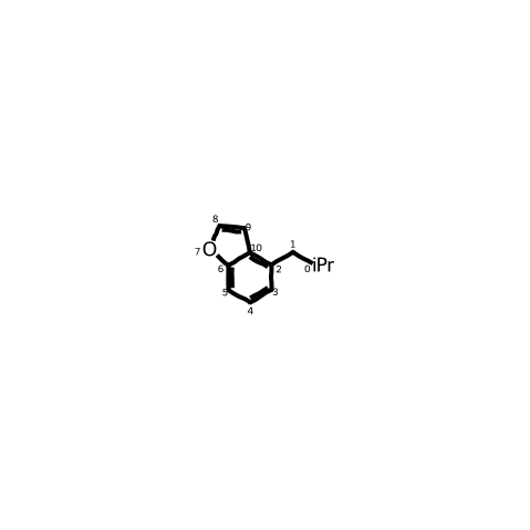 CC(C)Cc1cccc2occc12